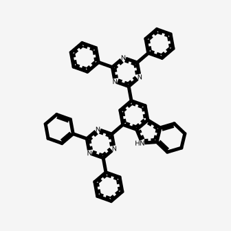 C1=CC(c2nc(-c3ccccc3)nc(-c3cc(-c4nc(-c5ccccc5)nc(-c5ccccc5)n4)cc4c5c([nH]c34)=CCCC=5)n2)=CCC1